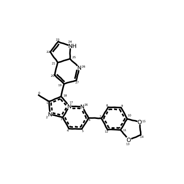 Cc1nc2ccc(-c3ccc4c(c3)OCO4)nn2c1C1=CC2C=CNC2N=C1